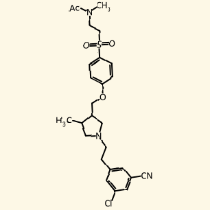 CC(=O)N(C)CCS(=O)(=O)c1ccc(OCC2CN(CCc3cc(Cl)cc(C#N)c3)CC2C)cc1